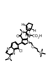 CN(C)c1cnc2ccc(-c3cn(COCC[Si](C)(C)C)c4nc(N5[C@H]6CC[C@@H]5[C@H](NC(=O)O)C6)n(C)c(=O)c34)c(Cl)c2n1